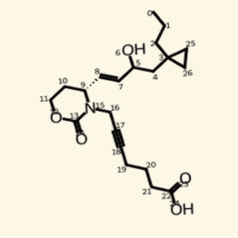 CCCC1(CC(O)/C=C/[C@H]2CCOC(=O)N2CC#CCCCC(=O)O)CC1